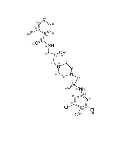 O=C(CN1CCN(CC(O)CNC(=O)c2ccccc2F)CC1)Nc1cc(Cl)c(Cl)c(Cl)c1